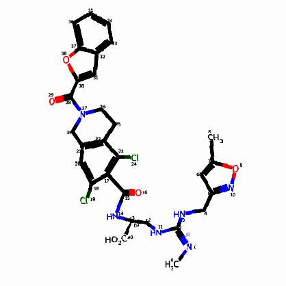 C/N=C(/NCc1cc(C)on1)NC[C@H](NC(=O)c1c(Cl)cc2c(c1Cl)CCN(C(=O)c1cc3ccccc3o1)C2)C(=O)O